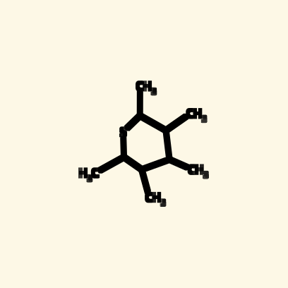 CC1SC(C)C(C)C(C)C1C